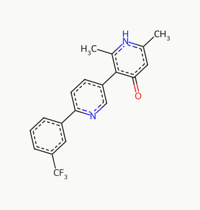 Cc1cc(=O)c(-c2ccc(-c3cccc(C(F)(F)F)c3)nc2)c(C)[nH]1